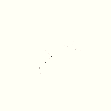 C[O][Sb](=[O])([OH])[O]C(F)(F)C(F)(F)C(F)(F)C(=O)O